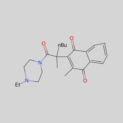 CCCCC(C)(C(=O)N1CCN(CC)CC1)C1=C(C)C(=O)c2ccccc2C1=O